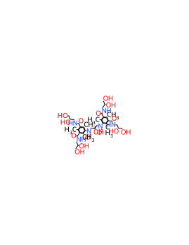 Cc1c(C(=O)NCC(O)CO)c(C)c(N(C=O)CC(O)CN(C=O)c2c(C)c(C(=O)NCC(O)CO)c(C)c(C(=O)NCC(O)CO)c2C)c(C)c1C(=O)NCC(O)CO